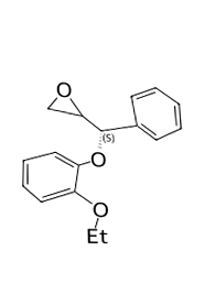 CCOc1ccccc1O[C@@H](c1ccccc1)C1CO1